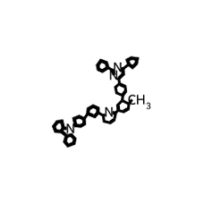 CC1C=CC(C2=NC(c3cccc(-c4ccc(-n5c6ccccc6c6ccccc65)cc4)c3)CC=C2)=CC1C1=CC=C(c2cc(-c3ccccc3)nc(-c3ccccc3)n2)CC1